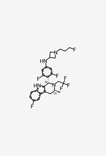 C[C@H]1Cc2c([nH]c3ccc(F)cc23)[C@H](c2c(F)cc(NC3CN(CCCF)C3)cc2F)N1CC(F)(F)F